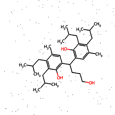 Cc1cc(C(CCCO)c2cc(C)c(CC(C)C)c(CC(C)C)c2O)c(O)c(CC(C)C)c1CC(C)C